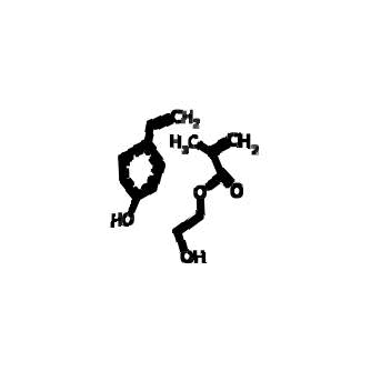 C=C(C)C(=O)OCCO.C=Cc1ccc(O)cc1